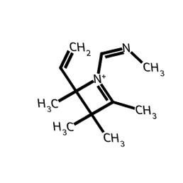 C=CC1(C)[N+](/C=N\C)=C(C)C1(C)C